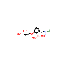 OBc1c(OCC[C@H](O)CO)cccc1C(O)CNCl